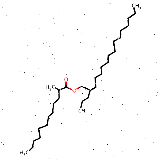 CCCCCCCCCCCCCCC(CCC)COC(=O)C(C)CCCCCCCCCC